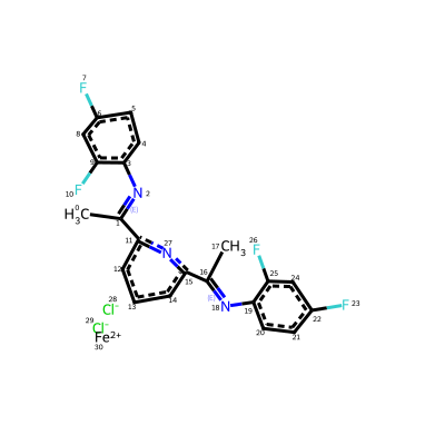 C/C(=N\c1ccc(F)cc1F)c1cccc(/C(C)=N/c2ccc(F)cc2F)n1.[Cl-].[Cl-].[Fe+2]